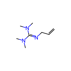 C=CCN=C(N(C)C)N(C)C